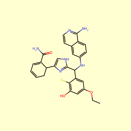 CCOc1cc(O)c(F)c(C(Nc2ccc3c(N)nccc3c2)c2nc(C3CC=CC=C3C(N)=O)c[nH]2)c1